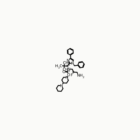 CC(C)(C)[C@H](c1nc(-c2ccccc2)cn1Cc1ccccc1)N(C[C@H](F)CN)C(=O)ON1CCC(N2CCCCC2)CC1